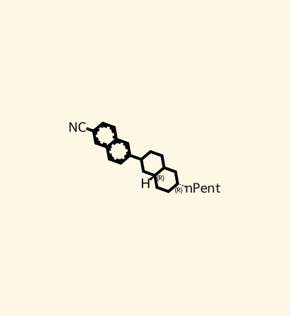 CCCCC[C@@H]1CC[C@@H]2CC(c3ccc4cc(C#N)ccc4c3)CCC2C1